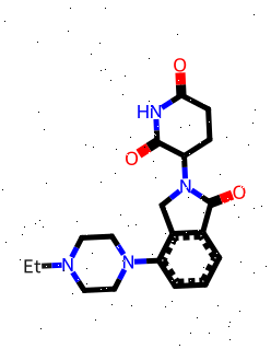 CCN1CCN(c2cccc3c2CN(C2CCC(=O)NC2=O)C3=O)CC1